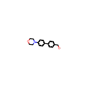 [O]Cc1ccc(-c2ccc(N3CCOCC3)cc2)cc1